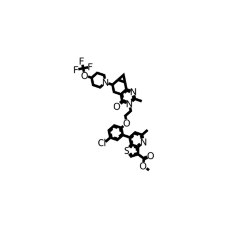 COC(=O)c1csc2c(-c3cc(Cl)ccc3OCCn3c(C)nc4c(c3=O)CC(N3CCC(OC(F)(F)F)CC3)C3CC43)cc(C)nc12